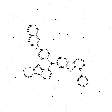 c1ccc(-c2cccc3c2oc2cc(N(c4ccc(-c5ccc6ccccc6c5)cc4)c4cccc5c4oc4ccccc45)ccc23)cc1